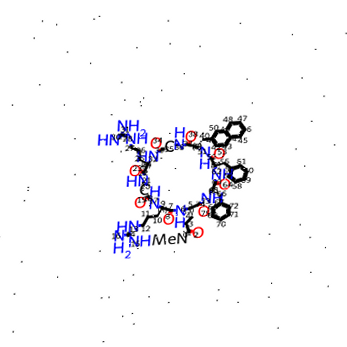 CNC(=O)CC[C@@H]1NC(=O)[C@@H](CCCNC(=N)N)NC(=O)CNC(=O)[C@@H](CCCNC(=N)N)NC(=O)CNC(=O)[C@H](Cc2ccc3ccccc3c2)NC(=O)[C@@H](Cc2ccccc2)NC(=O)[C@H](Cc2ccccc2)NC1=O